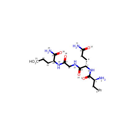 CC(C)C[C@H](N)C(=O)N[C@@H](CCC(N)=O)C(=O)NCC(=O)N[C@@H](CCC(=O)O)C(N)=O